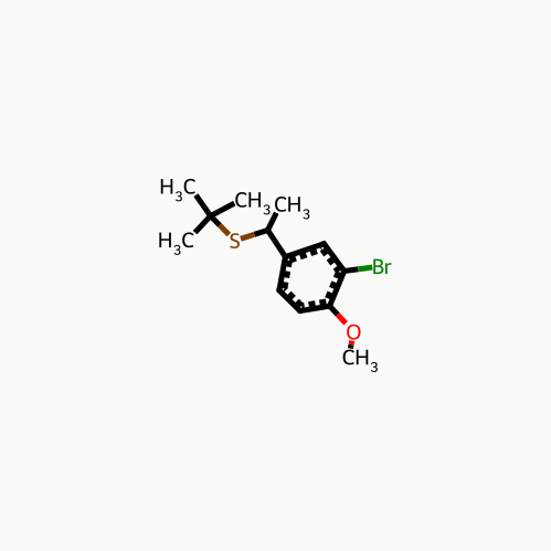 COc1ccc(C(C)SC(C)(C)C)cc1Br